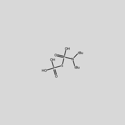 CC(C)(C)N(C(C)(C)C)P(=O)(O)SP(=O)(O)O